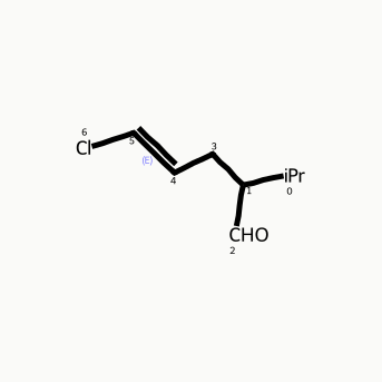 CC(C)C(C=O)C/C=C/Cl